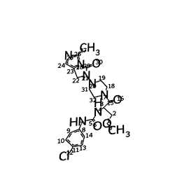 COCC(NC(=O)Nc1ccc(Cl)cc1)C(=O)N1CCN(N2Cc3cnc(C)n3C2=O)CC1